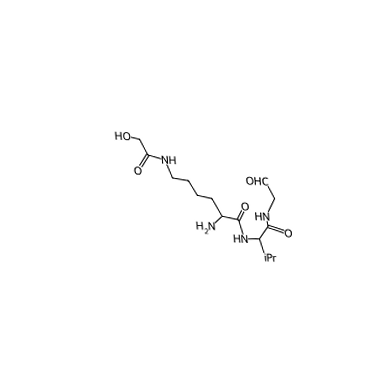 CC(C)C(NC(=O)C(N)CCCCNC(=O)CO)C(=O)NCC=O